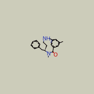 Cc1cc(C)cc(C(=O)N(C)[C@H](CCN)Cc2ccccc2)c1